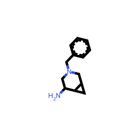 NC1CN(Cc2ccccc2)CC2CC12